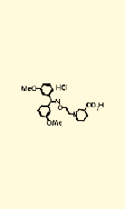 COc1cccc(C(=NOCCN2CCCC(C(=O)O)C2)c2cccc(OC)c2)c1.Cl